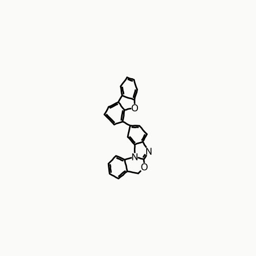 c1ccc2c(c1)COc1nc3ccc(-c4cccc5c4oc4ccccc45)cc3n1-2